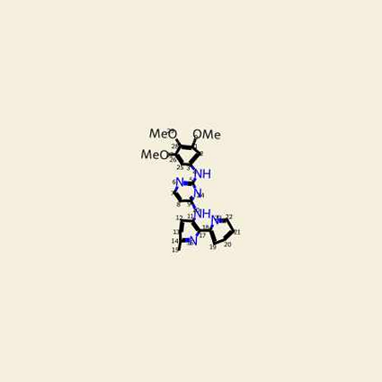 COc1cc(Nc2nccc(Nc3ccc(C)nc3-c3ccccn3)n2)cc(OC)c1OC